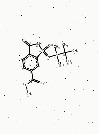 COC(=O)c1ccc2c(c1)S(=O)(=N[Si](C)(C)C(C)(C)C)NC2=O